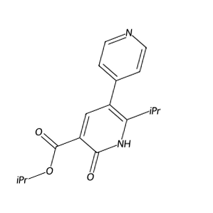 CC(C)OC(=O)c1cc(-c2ccncc2)c(C(C)C)[nH]c1=O